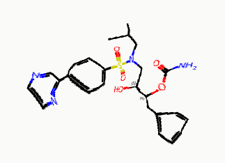 CC(C)CN(C[C@H](O)[C@H](Cc1ccccc1)OC(N)=O)S(=O)(=O)c1ccc(-c2cnccn2)cc1